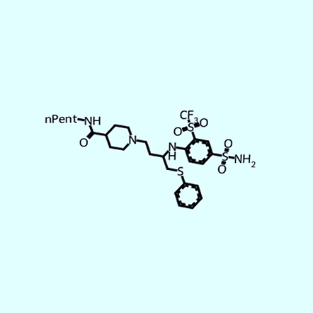 CCCCCNC(=O)C1CCN(CCC(CSc2ccccc2)Nc2ccc(S(N)(=O)=O)cc2S(=O)(=O)C(F)(F)F)CC1